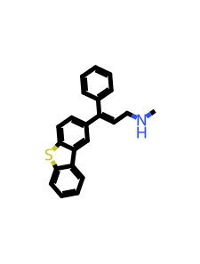 CNCC=C(c1ccccc1)c1ccc2sc3ccccc3c2c1